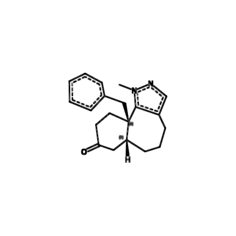 Cn1ncc2c1[C@@]1(Cc3ccccc3)CCC(=O)C[C@H]1CCC2